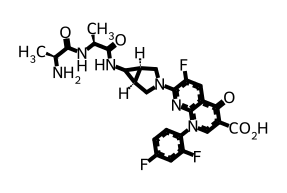 C[C@H](N)C(=O)N[C@@H](C)C(=O)NC1[C@H]2CN(c3nc4c(cc3F)c(=O)c(C(=O)O)cn4-c3ccc(F)cc3F)C[C@@H]12